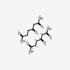 O=C(O)CCC(=O)CC(=O)O.O=C(O)CCC(=O)CC(=O)O